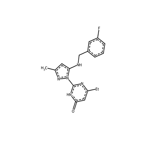 CCc1cc(=O)[nH]c(-n2nc(C)cc2NCc2cccc(F)c2)n1